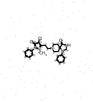 Cn1c(CCN2CCC3(CC2)C(=O)NCN3c2ccccc2)c(Cl)c(=O)n1-c1ccccc1